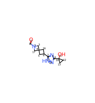 O=CN1CC2(CC(c3nc(C4(O)CC4)n[nH]3)C2)C1